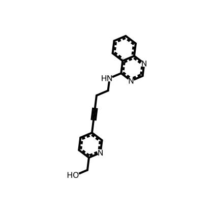 OCc1ccc(C#CCCNc2ncnc3ccccc23)cn1